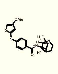 COc1csc(Sc2ccc(C(=O)N[C@@H]3C4CCN(CC4)[C@H]3C)cc2)c1